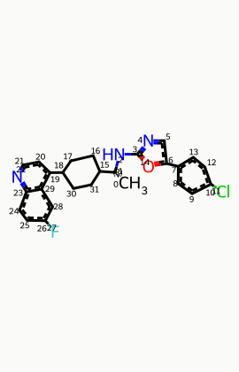 C[C@@H](Nc1ncc(-c2ccc(Cl)cc2)o1)C1CCC(c2ccnc3ccc(F)cc23)CC1